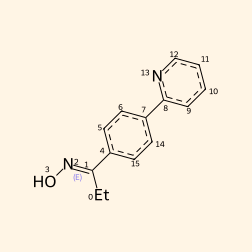 CC/C(=N\O)c1ccc(-c2ccccn2)cc1